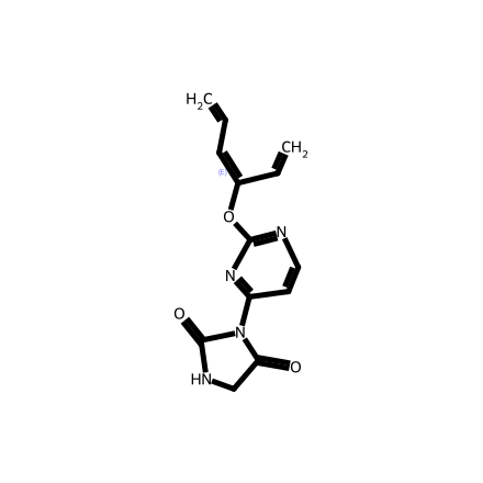 C=C/C=C(\C=C)Oc1nccc(N2C(=O)CNC2=O)n1